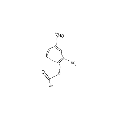 [CH2]CC(=O)Oc1ccc(C=O)cc1[N+](=O)[O-]